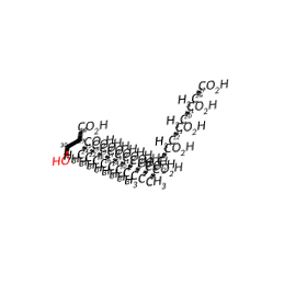 CC(=O)O.CC(=O)O.CC(=O)O.CC(=O)O.CC(=O)O.CC(=O)O.CC(=O)O.CC(=O)O.CC(=O)O.CC(=O)O.CC(=O)O.CC(=O)O.CC(=O)O.CC(=O)O.O=C(O)CCO